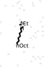 CCCCCCCCCCCCCCCC[PH](C)(C)CC